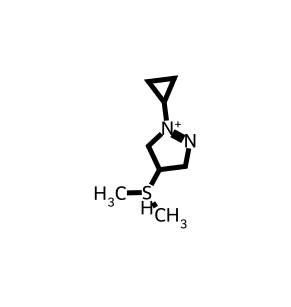 C[SH](C)C1CN=[N+](C2CC2)C1